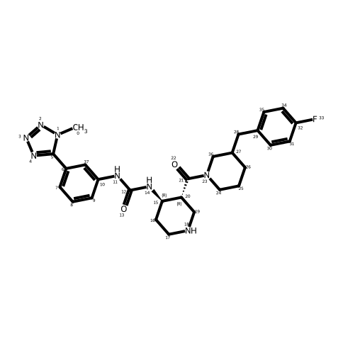 Cn1nnnc1-c1cccc(NC(=O)N[C@@H]2CCNC[C@H]2C(=O)N2CCCC(Cc3ccc(F)cc3)C2)c1